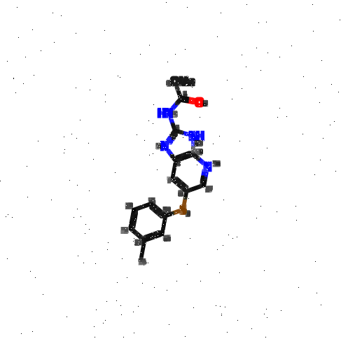 COC(=O)Nc1nc2cc(Sc3cccc(C)c3)cnc2[nH]1